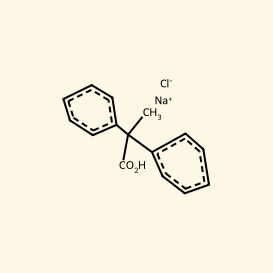 CC(C(=O)O)(c1ccccc1)c1ccccc1.[Cl-].[Na+]